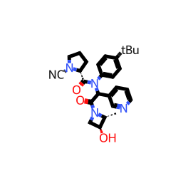 C[C@@H]1[C@@H](O)CN1C(=O)C(c1cccnc1)N(C(=O)[C@H]1CCCN1C#N)c1ccc(C(C)(C)C)cc1